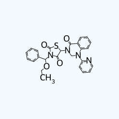 CCOC(c1ccccc1)N1C(=O)SC(N2CN(c3ccccn3)c3ccccc3C2=O)C1=O